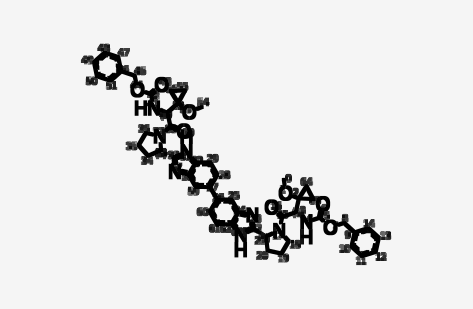 COC1([C@H](NC(=O)OCc2ccccc2)C(=O)N2CCC[C@H]2c2nc3cc(-c4ccc5[nH]c([C@@H]6CCCN6C(=O)[C@@H](NC(=O)OCc6ccccc6)C6(OC)CC6)nc5c4)ccc3[nH]2)CC1